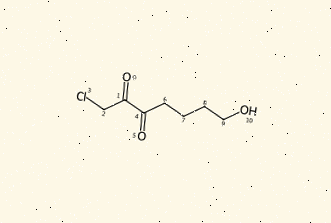 O=C(CCl)C(=O)CCCCO